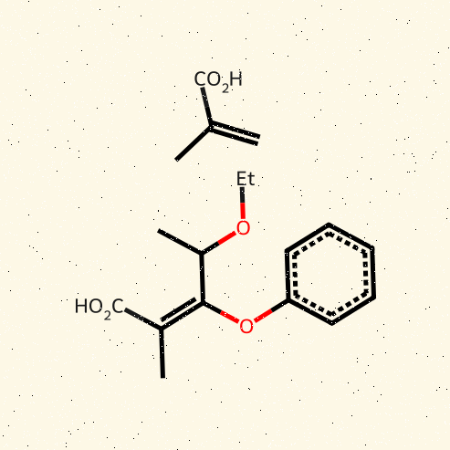 C=C(C)C(=O)O.CCOC(C)/C(Oc1ccccc1)=C(/C)C(=O)O